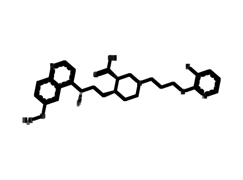 COc1ccc2nccc([C@@H](F)CC[C@@H]3CCN(CCCSc4ncccc4F)C[C@@H]3C(=O)O)c2c1